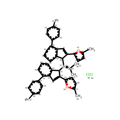 Cc1ccc(C2=Cc3c(-c4ccc(C(C)C)cc4)cccc3[CH]2[Zr+2]([CH]2C(c3ccc(C)o3)=Cc3c(-c4ccc(C(C)C)cc4)cccc32)=[Si](C)C)o1.[Cl-].[Cl-]